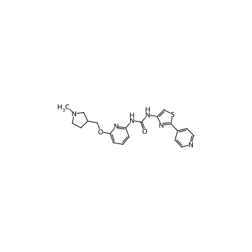 CN1CCC(COc2cccc(NC(=O)Nc3csc(-c4ccncc4)n3)n2)C1